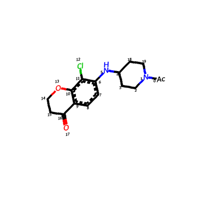 CC(=O)N1CCC(Nc2ccc3c(c2Cl)OCCC3=O)CC1